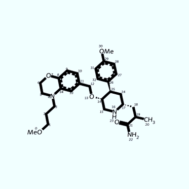 COCCCN1CCOc2ccc(CO[C@H]3CN[C@@H](CC(C)C(N)=O)C[C@@H]3c3ccc(OC)cc3)cc21